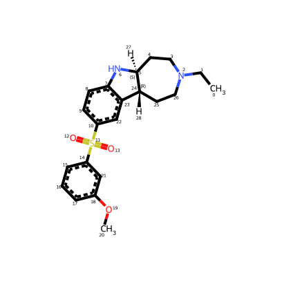 CCN1CC[C@@H]2Nc3ccc(S(=O)(=O)c4cccc(OC)c4)cc3[C@H]2CC1